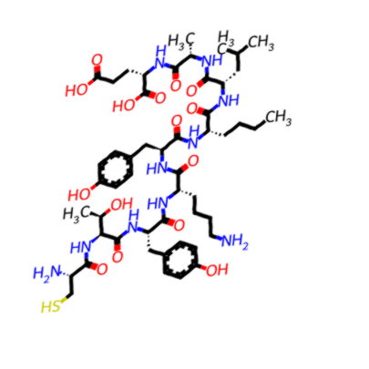 CCCC[C@H](NC(=O)[C@H](Cc1ccc(O)cc1)NC(=O)[C@H](CCCCN)NC(=O)[C@H](Cc1ccc(O)cc1)NC(=O)[C@@H](NC(=O)[C@@H](N)CS)[C@@H](C)O)C(=O)N[C@@H](CC(C)C)C(=O)N[C@@H](C)C(=O)N[C@@H](CCC(=O)O)C(=O)O